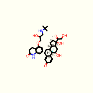 CC(C)(C)NCC(O)COc1cccc2c1CCC(=O)N2.C[C@H]1C[C@H]2[C@@H]3CCC4=CC(=O)C=C[C@]4(C)[C@@]3(F)[C@@H](O)C[C@]2(C)[C@@]1(O)C(=O)CO